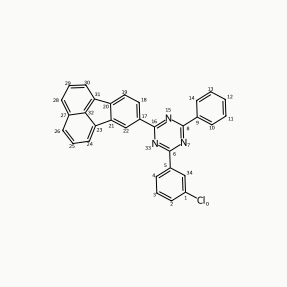 Clc1cccc(-c2nc(-c3ccccc3)nc(-c3ccc4c(c3)-c3cccc5cccc-4c35)n2)c1